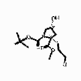 COC(=O)[C@]1(CCCCl)C[C@@H](O)CN1C(=O)OC(C)(C)C